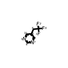 FC(F)(F)Cc1[c]ncnc1